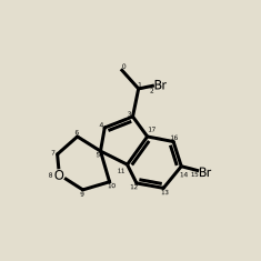 CC(Br)C1=CC2(CCOCC2)c2ccc(Br)cc21